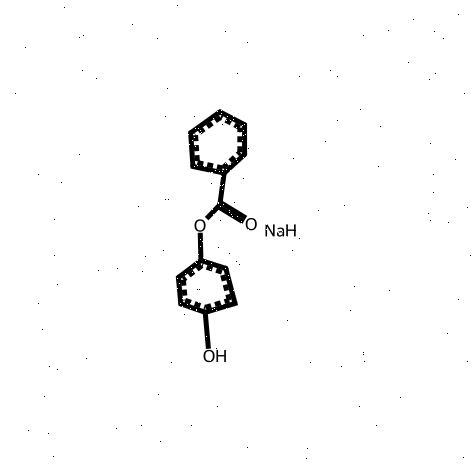 O=C(Oc1ccc(O)cc1)c1ccccc1.[NaH]